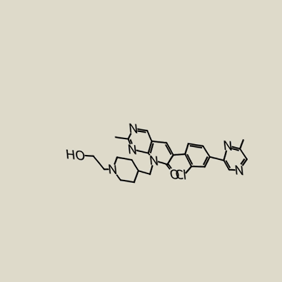 Cc1cncc(-c2ccc(-c3cc4cnc(C)nc4n(CC4CCN(CCO)CC4)c3=O)c(Cl)c2)n1